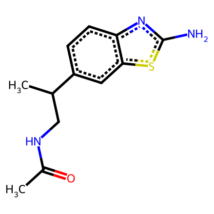 CC(=O)NCC(C)c1ccc2nc(N)sc2c1